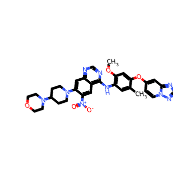 COc1cc(Oc2ccn3ncnc3c2)c(C)cc1Nc1ncnc2cc(N3CCC(N4CCOCC4)CC3)c([N+](=O)[O-])cc12